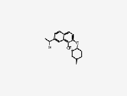 CC1CCC(Oc2ccc3ccc(C(C)Br)cc3c2C(F)(F)F)CC1